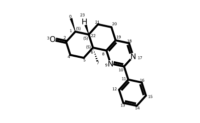 C[C@@H]1C(=O)CC[C@]2(C)c3nc(-c4ccccc4)ncc3CC[C@@H]12